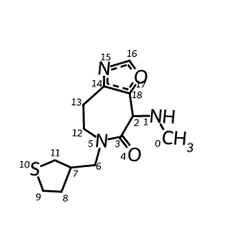 CNC1C(=O)N(CC2CCSC2)CCc2ncoc21